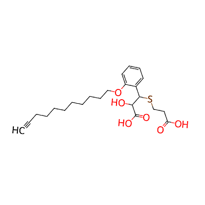 C#CCCCCCCCCCOc1ccccc1C(SCCC(=O)O)C(O)C(=O)O